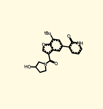 CC(C)(C)c1cc(-c2ccc[nH]c2=O)cc2c(C(=O)N3CCC(O)C3)coc12